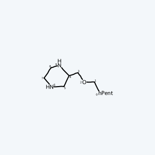 CCCCCCOCC1CNCCN1